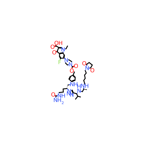 CCn1cc(C(=O)O)c(=O)c2cc(F)c(N3CCN(C(=O)OCc4ccc(NC[C@@H](CCCNC(N)=O)n5cc([C@@H](NC[C@H](C)NCCCCCCN6C(=O)CCC6=O)C(C)C)nn5)cc4)CC3)cc21